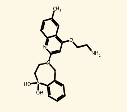 Cc1ccc2nc(N3CCS(O)(O)c4ccccc4C3)cc(OCCN)c2c1